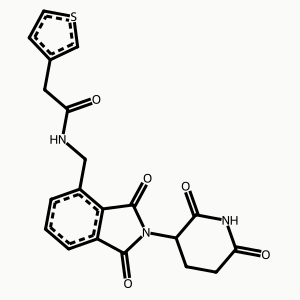 O=C(Cc1ccsc1)NCc1cccc2c1C(=O)N(C1CCC(=O)NC1=O)C2=O